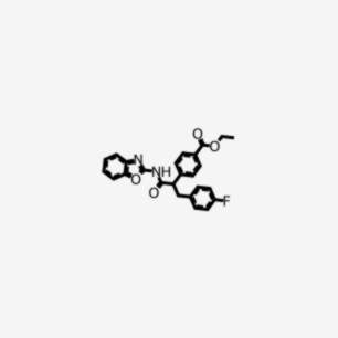 CCOC(=O)c1ccc(C(Cc2ccc(F)cc2)C(=O)Nc2nc3ccccc3o2)cc1